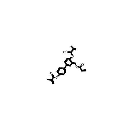 C=CC(=O)OCc1cc(-c2ccc(OC(=O)C(=C)C)cc2)ccc1OC(O)C(=C)C